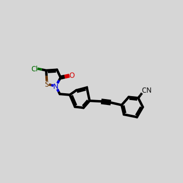 N#Cc1cccc(C#Cc2ccc(Cn3sc(Cl)cc3=O)cc2)c1